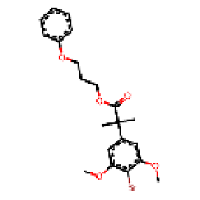 COc1cc(C(C)(C)C(=O)OCCCOc2ccccc2)cc(OC)c1Br